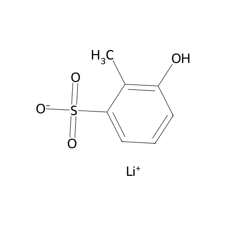 Cc1c(O)cccc1S(=O)(=O)[O-].[Li+]